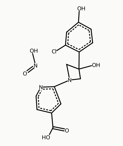 O=C(O)c1ccnc(N2CC(O)(c3ccc(O)cc3Cl)C2)c1.O=NO